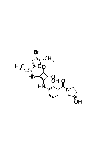 CC[C@@H](Nc1c(Nc2cccc(C(=O)N3CC[C@@H](O)C3)c2O)c(=O)c1=O)c1cc(Br)c(C)o1